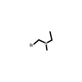 CCN(C)CBr